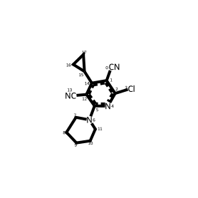 N#Cc1c(Cl)nc(N2C[CH]CCC2)c(C#N)c1C1CC1